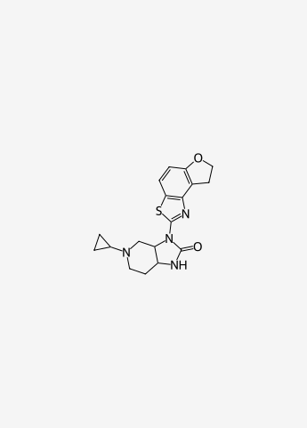 O=C1NC2CCN(C3CC3)CC2N1c1nc2c3c(ccc2s1)OCC3